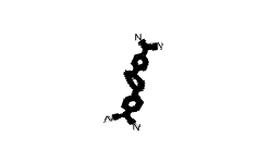 N#CC(C#N)=c1ccc(=c2ccc(=c3ccc(=C(C#N)C#N)cc3)cc2)cc1